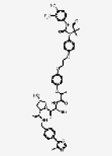 Cc1ncsc1-c1ccc(CNC(=O)[C@H]2C[C@@H](O)CN2C(=O)[C@@H](NC(=O)C(C)Oc2ccc(OCCOc3ccc(N4C(=S)N(c5ccc(C#N)c(C(F)(F)F)c5)C(=O)C4(C)C)cc3)cc2)C(C)(C)C)cc1